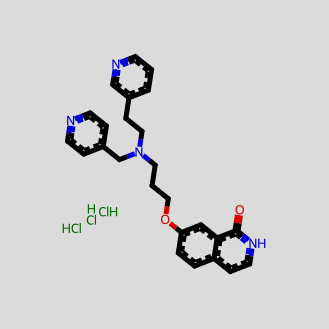 Cl.Cl.Cl.O=c1[nH]ccc2ccc(OCCCN(CCc3cccnc3)Cc3ccncc3)cc12